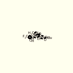 CCc1c(N2CCN(C(=O)OC(C)(C)C)CC2)c(=O)c2ncc(C)nc2n1CC(=O)Nc1ccc(C(F)(F)F)cc1Cl